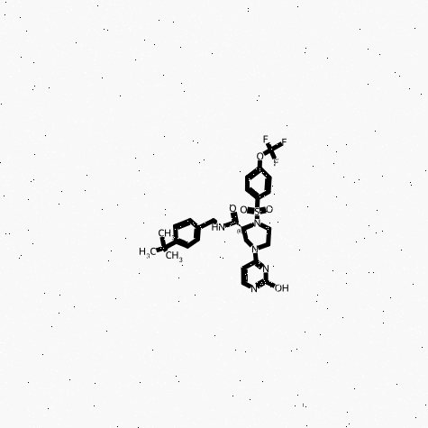 CC(C)(C)c1ccc(CNC(=O)[C@H]2CN(c3ccnc(O)n3)CCN2S(=O)(=O)c2ccc(OC(F)(F)F)cc2)cc1